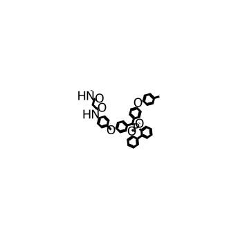 CNC(=O)CC(=O)Nc1ccc(Oc2ccc(C(c3ccc(Oc4ccc(C)cc4)cc3)P3(=O)Oc4ccccc4-c4ccccc43)cc2)cc1